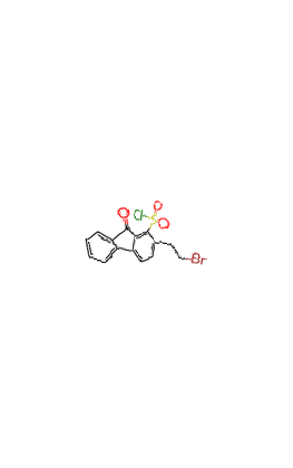 O=C1c2ccccc2-c2ccc(CCBr)c(S(=O)(=O)Cl)c21